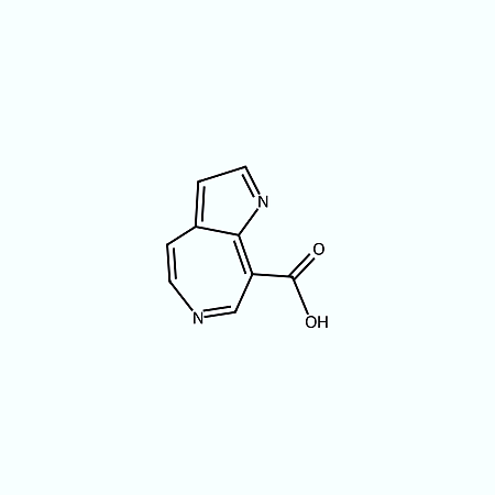 O=C(O)c1cnccc2ccnc1-2